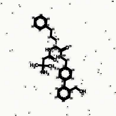 CC(C)(N)CC(=O)N[C@H](CCCc1ccccc1)C(=O)NCc1ccc(-c2ccccc2CO)cc1